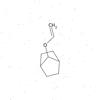 C=COC1C2CCC1CC2